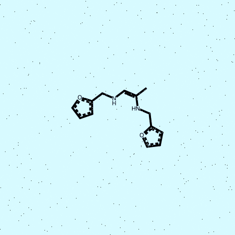 CC(=CNCc1ccco1)NCc1ccco1